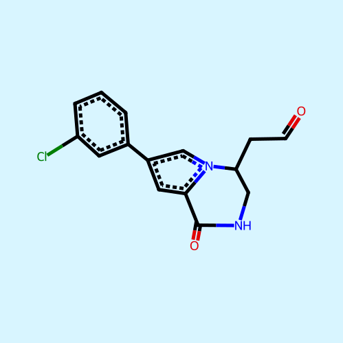 O=CCC1CNC(=O)c2cc(-c3cccc(Cl)c3)cn21